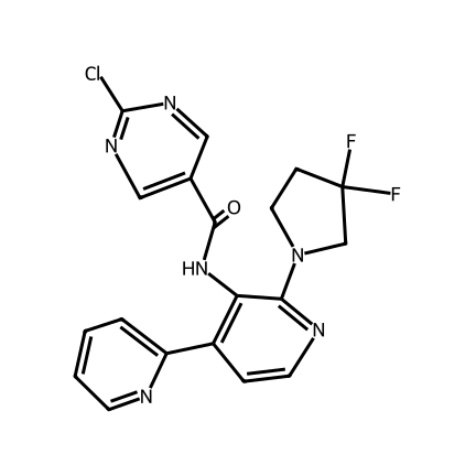 O=C(Nc1c(-c2ccccn2)ccnc1N1CCC(F)(F)C1)c1cnc(Cl)nc1